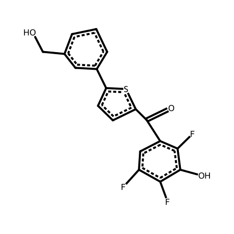 O=C(c1ccc(-c2cccc(CO)c2)s1)c1cc(F)c(F)c(O)c1F